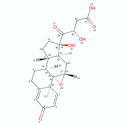 C[C@]12C=CC(=O)C=C1CC[C@H]1[C@@H]3CC[C@](O)(C(=O)C(O)CC(=O)O)[C@@]3(C)C[C@@H]3O[C@@]312